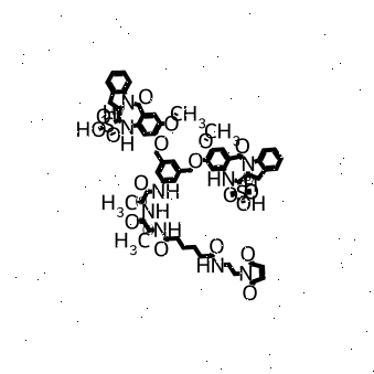 COc1cc2c(cc1OCc1cc(COc3cc4c(cc3OC)C(=O)N3c5ccccc5C[C@H]3C(S(=O)(=O)O)N4)cc(NC(=O)[C@H](C)NC(=O)[C@H](C)NC(=O)CCCCC(=O)NCCN3C(=O)C=CC3=O)c1)NC(S(=O)(=O)O)[C@@H]1Cc3ccccc3N1C2=O